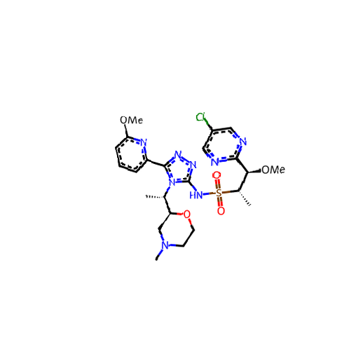 COc1cccc(-c2nnc(NS(=O)(=O)[C@@H](C)[C@H](OC)c3ncc(Cl)cn3)n2[C@@H](C)[C@@H]2CN(C)CCO2)n1